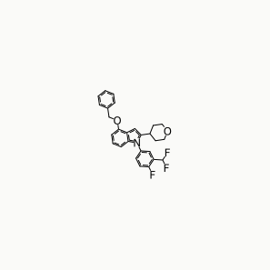 Fc1ccc(-n2c(C3CCOCC3)cc3c(OCc4ccccc4)cccc32)cc1C(F)F